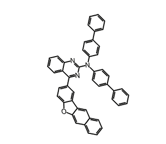 c1ccc(-c2ccc(N(c3ccc(-c4ccccc4)cc3)c3nc(-c4ccc5oc6cc7ccccc7cc6c5c4)c4ccccc4n3)cc2)cc1